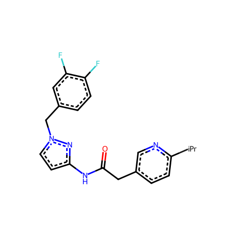 CC(C)c1ccc(CC(=O)Nc2ccn(Cc3ccc(F)c(F)c3)n2)cn1